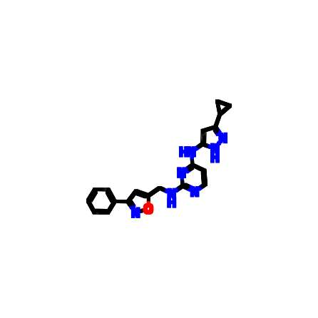 c1ccc(-c2cc(CNc3nccc(Nc4cc(C5CC5)n[nH]4)n3)on2)cc1